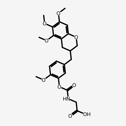 COc1ccc(CC2COc3cc(OC)c(OC)c(OC)c3C2)cc1OC(=O)NCC(=O)O